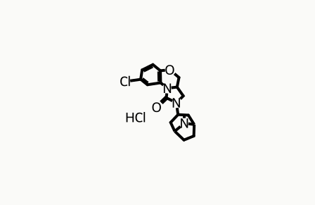 CN1C2CCC1CC(N1CC3COc4ccc(Cl)cc4N3C1=O)C2.Cl